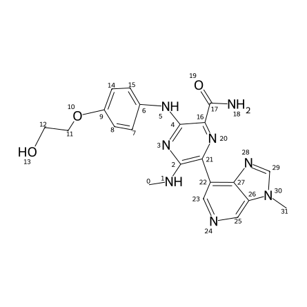 CNc1nc(Nc2ccc(OCCO)cc2)c(C(N)=O)nc1-c1cncc2c1ncn2C